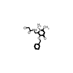 Cc1cc(=O)c(OCc2ccccc2)c(CNC(=O)CCl)n1C